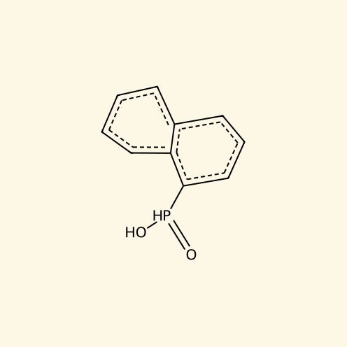 O=[PH](O)c1cccc2ccccc12